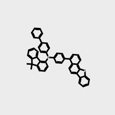 CC1(C)c2ccccc2-c2c(N(c3ccc(-c4ccccc4)cc3)c3ccc(-c4cccc5c4ccc4c6ccccc6sc54)cc3)cccc21